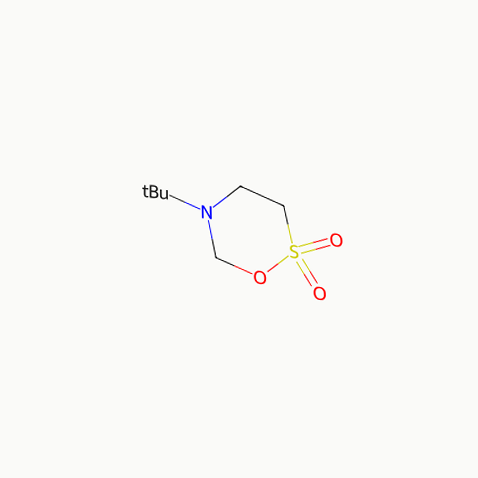 CC(C)(C)N1CCS(=O)(=O)OC1